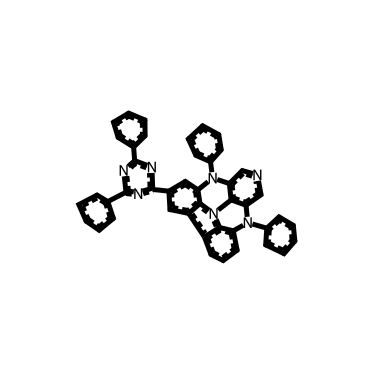 c1ccc(-c2nc(-c3ccccc3)nc(-c3cc4c5c(c3)c3cccc6c3n5-c3c(cncc3N4c3ccccc3)N6c3ccccc3)n2)cc1